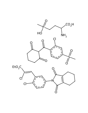 CCOC(=O)/C(Cl)=C/c1cc(N2C(=O)C3=C(CCCC3)C2=O)ccc1Cl.CP(=O)(O)CCC(N)C(=O)O.CS(=O)(=O)c1ccc(C(=O)C2C(=O)CCCC2=O)c(Cl)c1